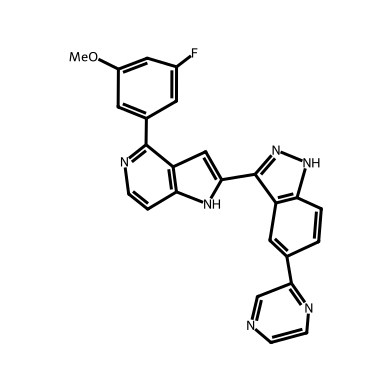 COc1cc(F)cc(-c2nccc3[nH]c(-c4n[nH]c5ccc(-c6cnccn6)cc45)cc23)c1